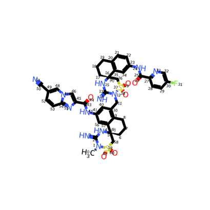 CN1C(=N)N[C@@]2(CCCc3c(CN4C(=N)N[C@@]5(CCCc6ccc(NC(=O)c7ccc(F)cn7)cc65)CS4(=O)=O)cc(NC(=O)c4cn5cc(C#N)ccc5n4)cc32)CS1(=O)=O